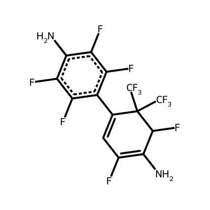 NC1=C(F)C=C(c2c(F)c(F)c(N)c(F)c2F)C(C(F)(F)F)(C(F)(F)F)C1F